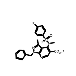 CCOC(=O)c1cnc2c(c(C)nn2Cc2ccccc2)c1N(C)S(=O)(=O)c1ccc(F)cc1